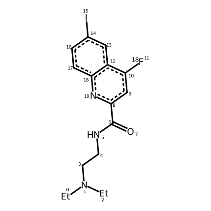 CCN(CC)CCNC(=O)c1cc([18F])c2cc(I)ccc2n1